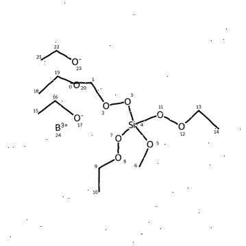 CCOO[Si](OC)(OOCC)OOCC.CC[O-].CC[O-].CC[O-].[B+3]